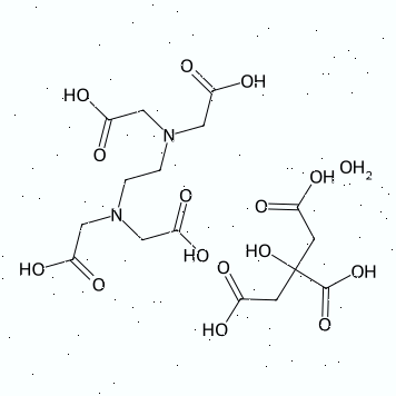 O.O=C(O)CC(O)(CC(=O)O)C(=O)O.O=C(O)CN(CCN(CC(=O)O)CC(=O)O)CC(=O)O